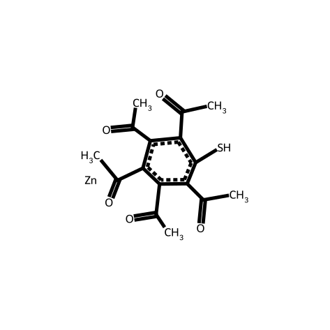 CC(=O)c1c(S)c(C(C)=O)c(C(C)=O)c(C(C)=O)c1C(C)=O.[Zn]